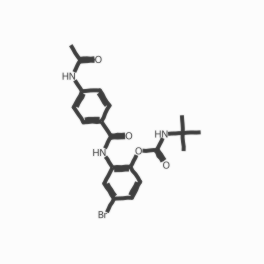 CC(=O)Nc1ccc(C(=O)Nc2cc(Br)ccc2OC(=O)NC(C)(C)C)cc1